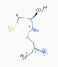 CC(N)CN[C@@H](CS)C(=O)O